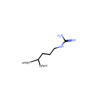 CCCCCCCC(CCCCC)CCCNC(=N)N